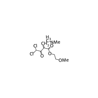 C=C(C(=O)OCCOC)C(=O)C(Cl)Cl.CNC